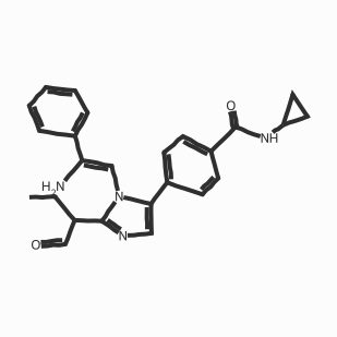 CCC(C=O)c1ncc(-c2ccc(C(=O)NC3CC3)cc2)n1/C=C(\N)c1ccccc1